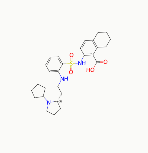 O=C(O)c1c(NS(=O)(=O)c2ccccc2NCC[C@@H]2CCCN2C2CCCC2)ccc2c1CCCC2